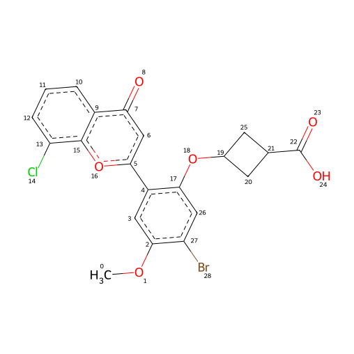 COc1cc(-c2cc(=O)c3cccc(Cl)c3o2)c(OC2CC(C(=O)O)C2)cc1Br